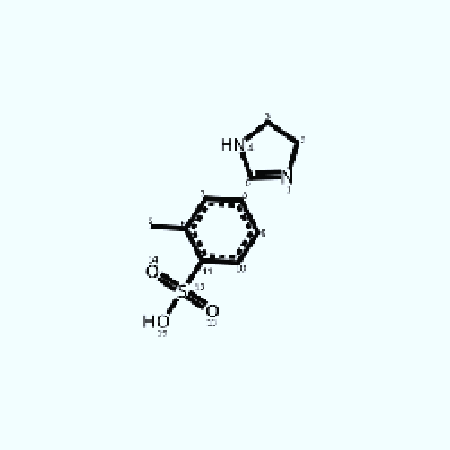 C1=NCCN1.Cc1ccccc1S(=O)(=O)O